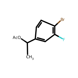 CC(=O)OC(C)c1ccc(Br)c(F)c1